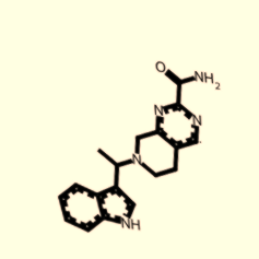 CC(c1c[nH]c2ccccc12)N1CCc2[c]nc(C(N)=O)nc2C1